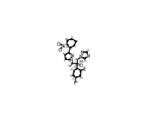 C[C@@H](n1ccc(-c2ccccc2[N+](=O)[O-])n1)[C@](O)(Cn1cncn1)c1ccc(F)cc1F